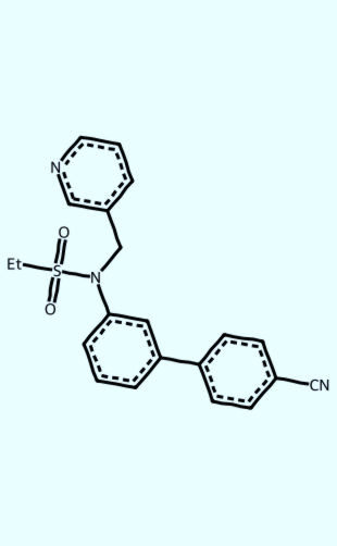 CCS(=O)(=O)N(Cc1cccnc1)c1cccc(-c2ccc(C#N)cc2)c1